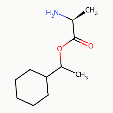 CC(OC(=O)[C@H](C)N)C1CCCCC1